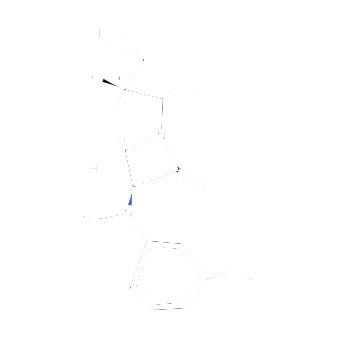 C=C[C@@]1(C)S[C@@H]2[C@H](N(C(C)=O)c3cccc(C(=O)O)c3)C(=O)N2C1C(=O)O